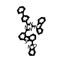 c1ccc(-c2ccc(-c3nc(-c4cccc5sc6c(-c7nc8ccccc8o7)cccc6c45)nc(-n4c5ccccc5c5ccccc54)n3)cc2)cc1